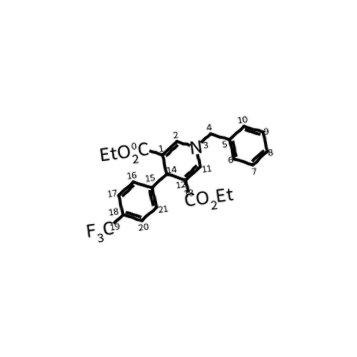 CCOC(=O)C1=CN(Cc2ccccc2)C=C(C(=O)OCC)C1c1ccc(C(F)(F)F)cc1